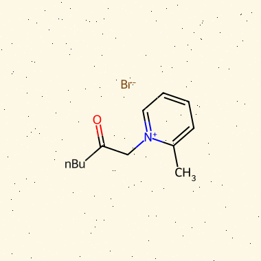 CCCCC(=O)C[n+]1ccccc1C.[Br-]